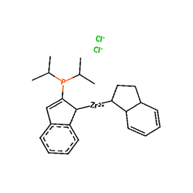 CC(C)P(C1=Cc2ccccc2[CH]1[Zr+2][CH]1CCC2C=CC=CC21)C(C)C.[Cl-].[Cl-]